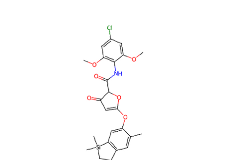 COc1cc(Cl)cc(OC)c1NC(=O)C1OC(Oc2cc3c(cc2C)CC[Si]3(C)C)=CC1=O